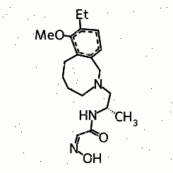 CCc1ccc2c(c1OC)CCCCN(C[C@H](C)NC(=O)/C=N\O)C2